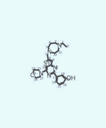 CCN1CCCN(Cc2cc3nc(-c4cccc(O)c4)nc(N4CCOCC4)c3s2)CC1